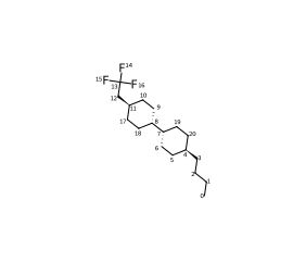 CCCC[C@H]1CC[C@H]([C@H]2CC[C@H](CC(F)(F)F)CC2)CC1